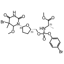 COC(=O)[C@H](C)NP(=O)(OC[C@@H]1CC[C@H](N2C(=O)NC(=O)C(C)(Br)C2OC)O1)Oc1ccc(Br)cc1